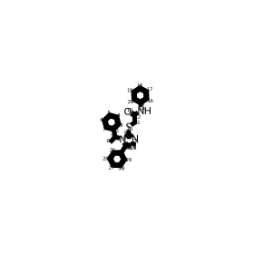 CC(c1ccccc1)n1c(SCC(=O)Nc2ccccc2)nnc1-c1ccccc1